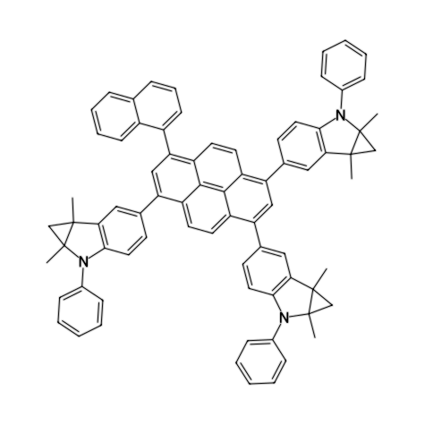 CC12CC1(C)N(c1ccccc1)c1ccc(-c3cc(-c4ccc5c(c4)C4(C)CC4(C)N5c4ccccc4)c4ccc5c(-c6cccc7ccccc67)cc(-c6ccc7c(c6)C6(C)CC6(C)N7c6ccccc6)c6ccc3c4c65)cc12